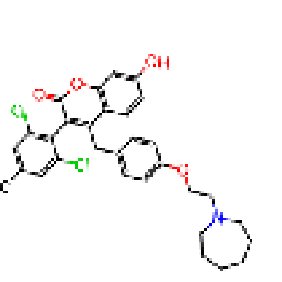 Cc1cc(Cl)c(-c2c(Cc3ccc(OCCN4CCCCCC4)cc3)c3ccc(O)cc3oc2=O)c(Cl)c1